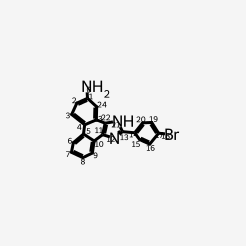 Nc1ccc2c3ccccc3c3nc(-c4ccc(Br)cc4)[nH]c3c2c1